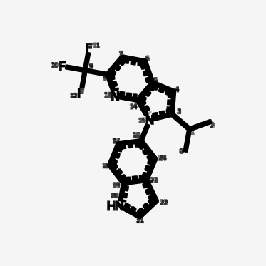 CC(C)c1cc2ccc(C(F)(F)F)nc2n1-c1ccc2[nH]ccc2c1